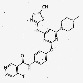 CN1CCN(c2cc(Nc3ncc(C#N)s3)nc(Oc3ccc(NC(=O)c4cnccc4F)cc3)n2)CC1